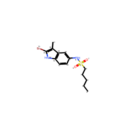 CCCCCS(=O)(=O)Nc1ccc2[nH]c(Br)c(C)c2c1